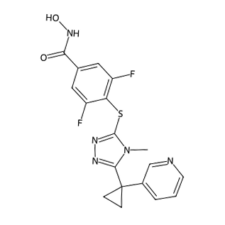 Cn1c(Sc2c(F)cc(C(=O)NO)cc2F)nnc1C1(c2cccnc2)CC1